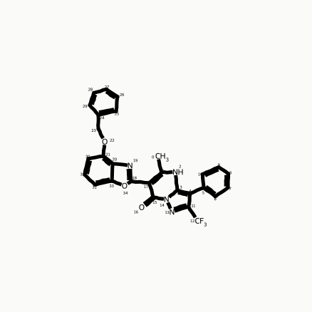 Cc1[nH]c2c(-c3ccccc3)c(C(F)(F)F)nn2c(=O)c1-c1nc2c(OCc3ccccc3)cccc2o1